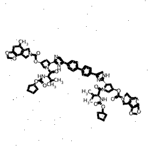 CC1CC2=C(OCO2)C2=C1CN(C(=O)O[C@@H]1C[C@@H](c3ncc(-c4ccc(-c5ccc(-c6c[nH]c([C@@H]7C[C@@H](OC(=O)N8Cc9ccc%10c(c9C8)OCO%10)CN7C(=O)[C@@H](NC(=O)OC7CCCC7)C(C)C)n6)cc5)cc4)[nH]3)N(C(=O)[C@@H](NC(=O)OC3CCCC3)C(C)C)C1)C2